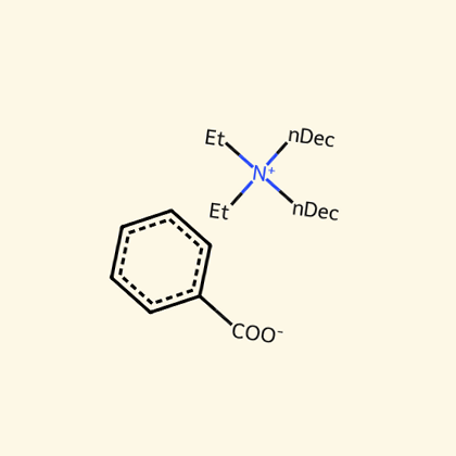 CCCCCCCCCC[N+](CC)(CC)CCCCCCCCCC.O=C([O-])c1ccccc1